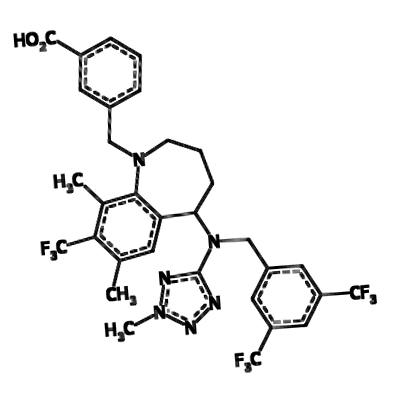 Cc1cc2c(c(C)c1C(F)(F)F)N(Cc1cccc(C(=O)O)c1)CCCC2N(Cc1cc(C(F)(F)F)cc(C(F)(F)F)c1)c1nnn(C)n1